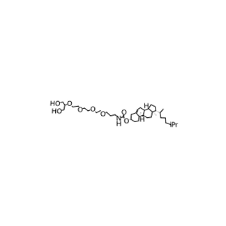 CC(C)CCCC(C)[C@H]1CC[C@H]2C3CC=C4C[C@@H](OC(=O)NCCCOCCOCCOCCOC(CO)CO)CC[C@]4(C)[C@H]3CC[C@]12C